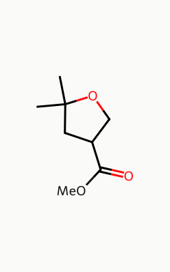 COC(=O)C1COC(C)(C)C1